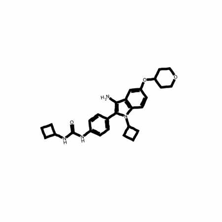 Nc1c(-c2ccc(NC(=O)NC3CCC3)cc2)n(C2CCC2)c2ccc(OC3CCOCC3)cc12